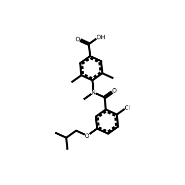 Cc1cc(C(=O)O)cc(C)c1N(C)C(=O)c1cc(OCC(C)C)ccc1Cl